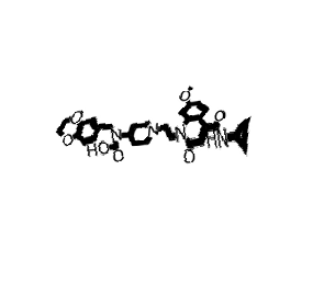 COc1ccc2c(C(=O)NC3CC3)cc(=O)n(CCN3CCC(N(Cc4ccc5c(c4)OCCO5)C(=O)O)CC3)c2c1